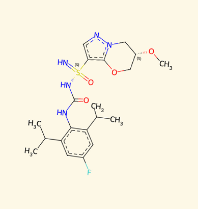 CO[C@@H]1COc2c([S@](=N)(=O)NC(=O)Nc3c(C(C)C)cc(F)cc3C(C)C)cnn2C1